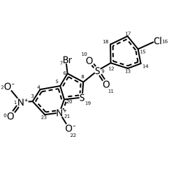 O=[N+]([O-])c1cc2c(Br)c(S(=O)(=O)c3ccc(Cl)cc3)sc2[n+]([O-])c1